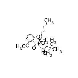 CCCCCCCP(=O)(CC(C)CC(C)(C)C)C(=O)c1c(OC)cccc1OC